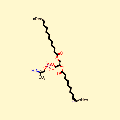 CCCCCC/C=C\CCCCCCCC(=O)O[C@H](COC(=O)CCCCCCCCCCCCCCCCCCCC)COP(=O)(O)OC[C@H](N)C(=O)O